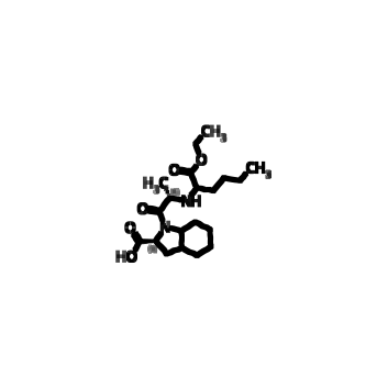 CCCCC(N[C@@H](C)C(=O)N1C2CCCCC2C[C@H]1C(=O)O)C(=O)OCC